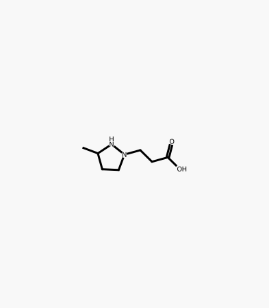 CC1CCN(CCC(=O)O)N1